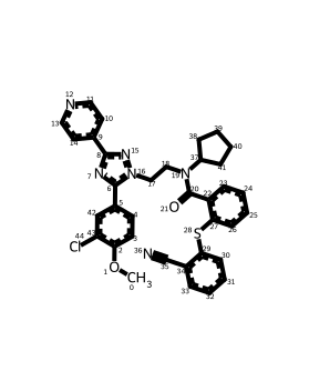 COc1ccc(-c2nc(-c3ccncc3)nn2CCN(C(=O)c2ccccc2Sc2ccccc2C#N)C2CCCC2)cc1Cl